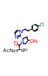 CC(=O)NC(C(=O)N1C[C@H](O)C[C@H]1c1nccn1CCc1ccc(Cl)cc1)C(C)(C)C